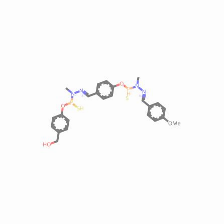 COc1ccc(/C=N/N(C)[PH](=S)Oc2ccc(/C=N/N(C)P(S)Oc3ccc(CO)cc3)cc2)cc1